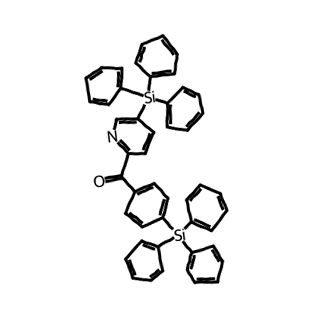 O=C(c1ccc([Si](c2ccccc2)(c2ccccc2)c2ccccc2)cc1)c1ccc([Si](c2ccccc2)(c2ccccc2)c2ccccc2)cn1